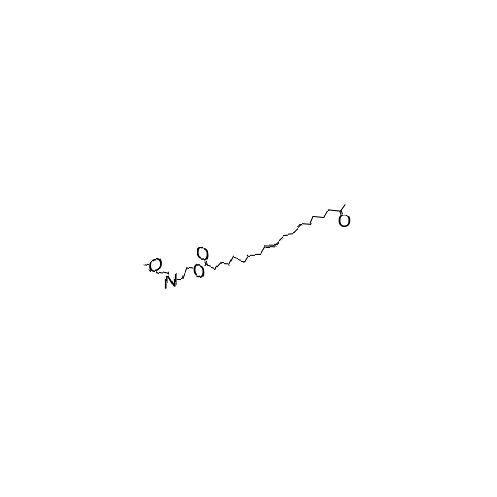 COCCN(C)CCOC(=O)CCCCCCC/C=C/CCCCCCCC(C)=O